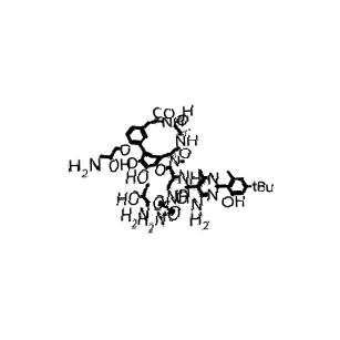 Cc1cc(C(C)(C)C)cc(O)c1-c1nc(C)c(C(=O)NC(CNS(N)(=O)=O)C(=O)N(C)[C@@H]2C(=O)N[C@@H](C)C(=O)N[C@H](C(=O)O)Cc3ccc(OCC(O)CN)c(c3)-c3cc2cc(OCC(O)CN)c3O)c(N)n1